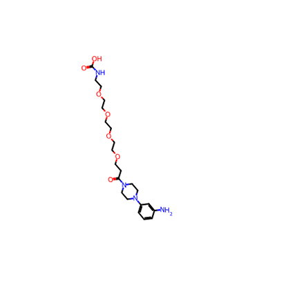 Nc1cccc(N2CCN(C(=O)CCOCCOCCOCCOCCNC(=O)O)CC2)c1